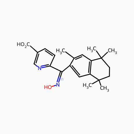 Cc1cc2c(cc1/C(=N/O)c1ccc(C(=O)O)cn1)C(C)(C)CCC2(C)C